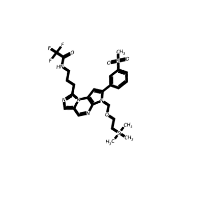 C[Si](C)(C)CCOCn1c(-c2cccc(S(C)(=O)=O)c2)cc2c1ncc1cnc(CCCNC(=O)C(F)(F)F)n12